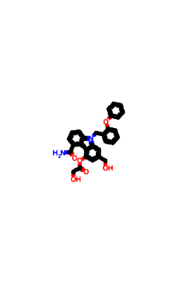 NC(=O)c1cccc2c1c1c(OC(=O)CO)cc(CO)cc1n2Cc1ccccc1Oc1ccccc1